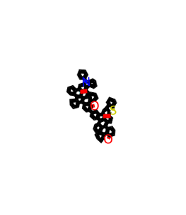 c1ccc(-n2c3ccccc3c3ccc(-c4ccccc4-c4c5ccccc5c(-c5ccc(-c6ccc(-c7c8ccccc8c(-c8cccc9oc%10ccccc%10c89)c8ccccc78)c(-c7ccc8sc9ccccc9c8c7)c6)c6oc7ccccc7c56)c5ccccc45)cc32)cc1